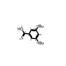 CC(C)(C)c1cc(C(O)=S)cc(C(C)(C)C)c1